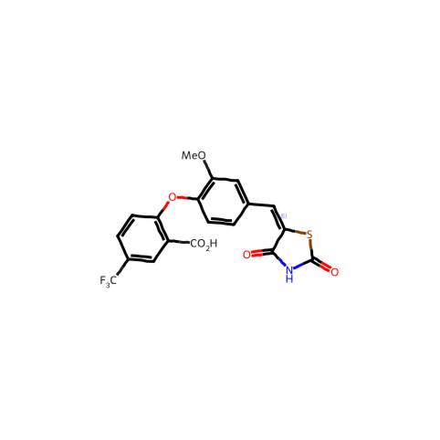 COc1cc(/C=C2/SC(=O)NC2=O)ccc1Oc1ccc(C(F)(F)F)cc1C(=O)O